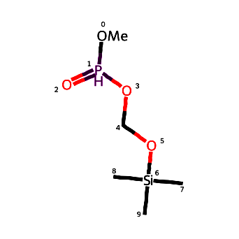 CO[PH](=O)OCO[Si](C)(C)C